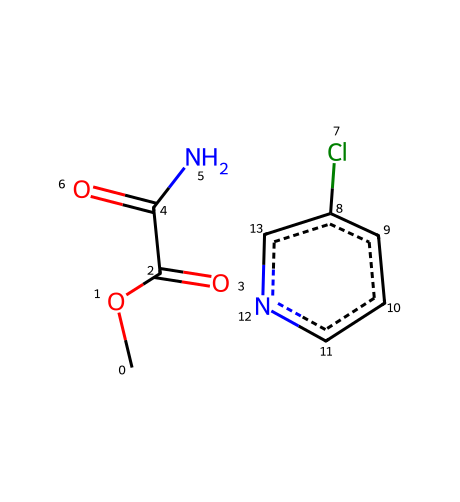 COC(=O)C(N)=O.Clc1cccnc1